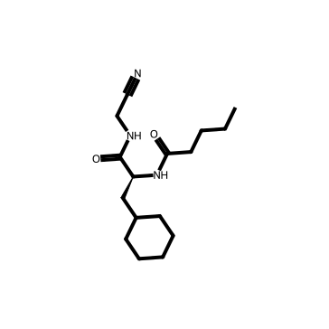 CCCCC(=O)N[C@@H](CC1CCCCC1)C(=O)NCC#N